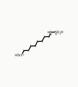 CCCCCCCCCCCCCCCCNS(=O)(=O)O